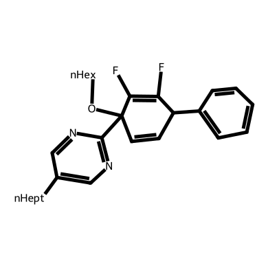 CCCCCCCc1cnc(C2(OCCCCCC)C=CC(c3ccccc3)C(F)=C2F)nc1